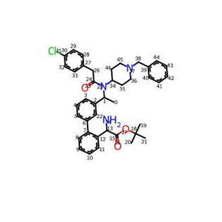 CC(c1cccc(-c2ccccc2C(N)C(=O)OC(C)(C)C)c1)N(C(=O)Cc1ccc(Cl)cc1)C1CCN(Cc2ccccc2)CC1